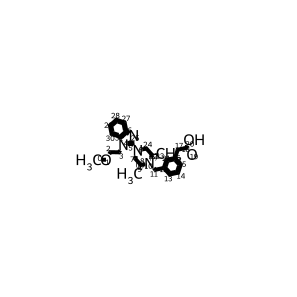 COCCn1c(N2C[C@@H](C)N(Cc3cccc(CC(=O)O)c3)[C@@H](C)C2)nc2ccccc21